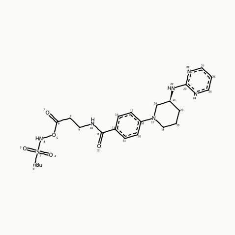 CCCCS(=O)(=O)NOC(=O)CCNC(=O)c1ccc(N2CCC[C@H](Nc3ncccn3)C2)cc1